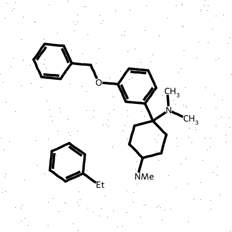 CCc1ccccc1.CNC1CCC(c2cccc(OCc3ccccc3)c2)(N(C)C)CC1